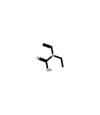 C=CN(CC)C(=O)O